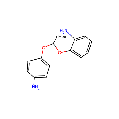 CCCCCCC(Oc1ccc(N)cc1)Oc1ccccc1N